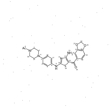 CC(=O)N1CCN(c2ccc(Nc3nc(N)c(C(=O)c4ccc5c(c4)OCO5)s3)cc2)CC1